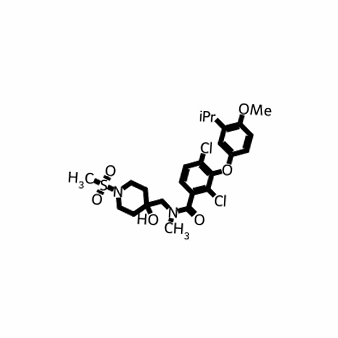 COc1ccc(Oc2c(Cl)ccc(C(=O)N(C)CC3(O)CCN(S(C)(=O)=O)CC3)c2Cl)cc1C(C)C